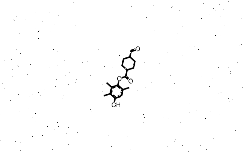 Cc1cc(O)c(C)c(C)c1OC(=O)C1CCC(C=O)CC1